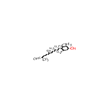 CC1=C(/C=C/C(C)=C/C=C/C(C)=C/C=C/C=C(\C)C=O)C(C)(C)C[C@H](O)C1